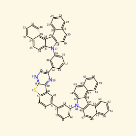 c1cc(-c2ccc3sc4ncc(-c5cccc(-n6c7ccc8ccccc8c7c7c8ccccc8ccc76)c5)nc4c3c2)cc(-n2c3ccc4ccccc4c3c3c4ccccc4ccc32)c1